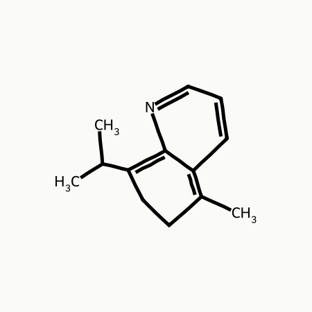 CC1=c2cccnc2=C(C(C)C)CC1